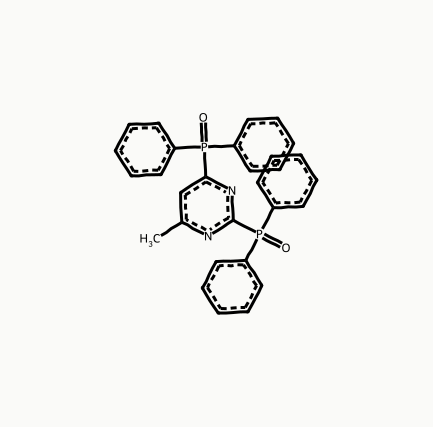 Cc1cc(P(=O)(c2ccccc2)c2ccccc2)nc(P(=O)(c2ccccc2)c2ccccc2)n1